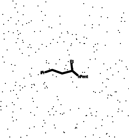 CCCCCC(CC)CCC(C)C